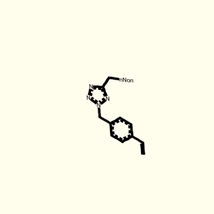 C=Cc1ccc(Cn2nnc(CCCCCCCCCC)n2)cc1